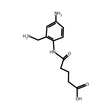 NCc1cc(N)ccc1NC(=O)CCCC(=O)O